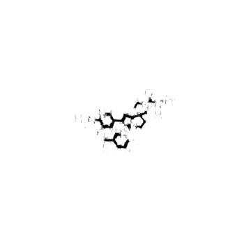 CC(C)NC(=O)N1CC[C@@]2(CCn3nc(-c4cnc(N)c(O[C@H](C)c5cccnc5)c4)cc32)C1